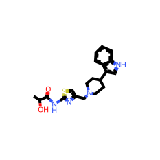 CC(O)C(=O)Nc1nc(CN2CCC(c3c[nH]c4ccccc34)CC2)cs1